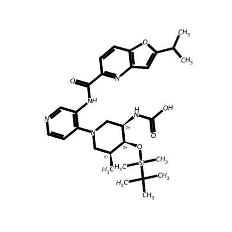 CC(C)c1cc2nc(C(=O)Nc3cnccc3N3C[C@H](C)[C@H](O[Si](C)(C)C(C)(C)C)[C@H](NC(=O)O)C3)ccc2o1